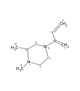 C=CC(=C)N1CCN(C)C(C)C1